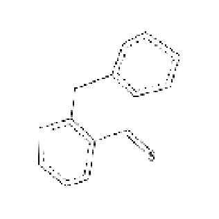 S=Cc1ccccc1Cc1ccccc1